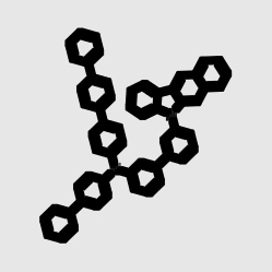 c1ccc(-c2ccc(-c3ccc(N(c4ccc(-c5ccccc5)cc4)c4cccc(-c5cccc(-n6c7ccccc7c7cc8ccccc8cc76)c5)c4)cc3)cc2)cc1